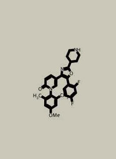 COc1cc(C)c(-n2cc(-c3nc(C4CCNCC4)oc3-c3ccc(F)cc3F)ccc2=O)c(C)c1